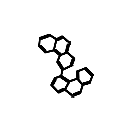 [c]1cc2ncc3ccccc3c2cc1-c1cccc2ncc3ccccc3c12